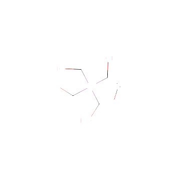 O=[N+]([O-])[O-].OC[P+](CO)(CO)CO